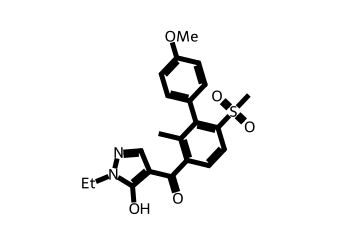 CCn1ncc(C(=O)c2ccc(S(C)(=O)=O)c(-c3ccc(OC)cc3)c2C)c1O